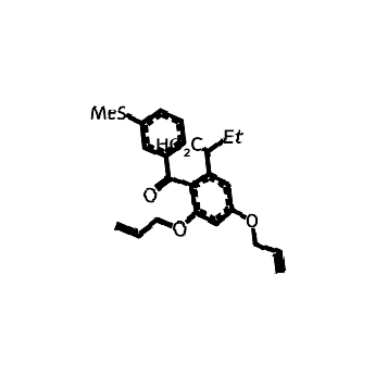 C=CCOc1cc(OCC=C)c(C(=O)c2cccc(SC)c2)c(C(CC)C(=O)O)c1